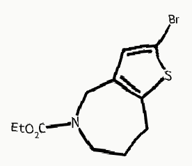 CCOC(=O)N1CCCc2sc(Br)cc2C1